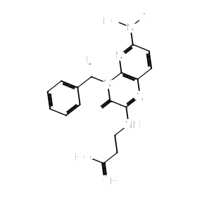 C=C(O)CCNc1nc2ccc(N(C)C(C)=O)nc2n([C@@H](CC)c2ccccc2)c1=O